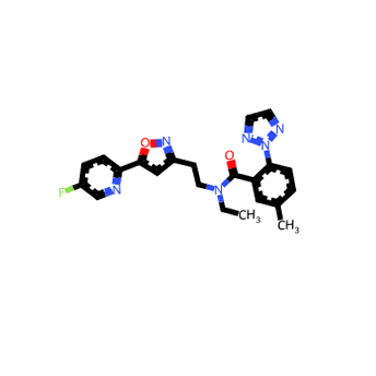 CCN(CCc1cc(-c2ccc(F)cn2)on1)C(=O)c1cc(C)ccc1-n1nccn1